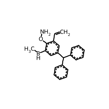 C=Cc1cc(C(c2ccccc2)c2ccccc2)cc(BC)c1ON